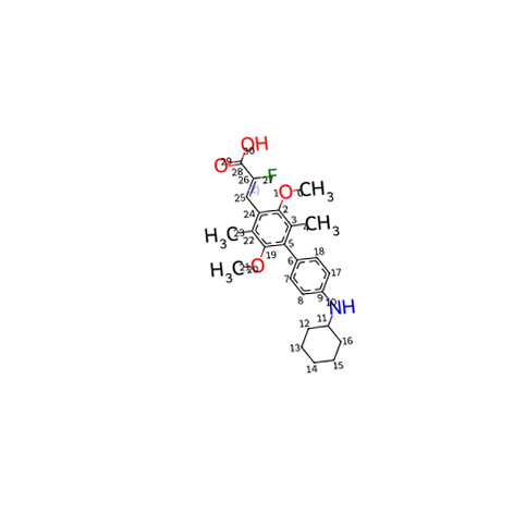 COc1c(C)c(-c2ccc(NC3CCCCC3)cc2)c(OC)c(C)c1/C=C(\F)C(=O)O